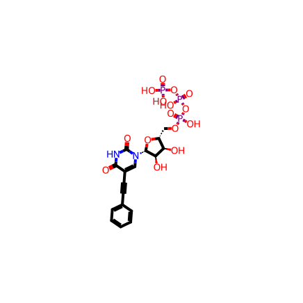 O=c1[nH]c(=O)n([C@@H]2O[C@H](COP(=O)(O)OP(=O)(O)OP(=O)(O)O)[C@@H](O)[C@H]2O)cc1C#Cc1ccccc1